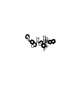 O=C(CC(NS(=O)(=O)c1ccc2ccccc2c1)c1ccc(F)c(F)c1)NC1CCOc2cc(CN3CCCCC3)ccc21